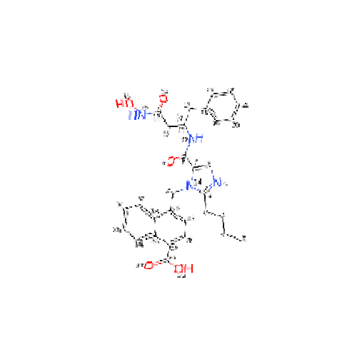 CCCCc1ncc(C(=O)N[C@@H](CC(=O)NO)Cc2ccccc2)n1Cc1ccc(C(=O)O)c2ccccc12